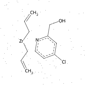 C=C[CH2][Zr][CH2]C=C.OCc1cc(Cl)ccn1